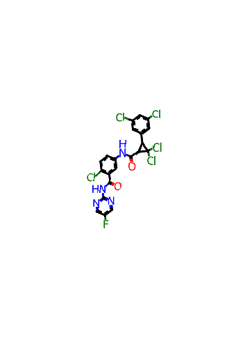 O=C(Nc1ncc(F)cn1)c1cc(NC(=O)C2C(c3cc(Cl)cc(Cl)c3)C2(Cl)Cl)ccc1Cl